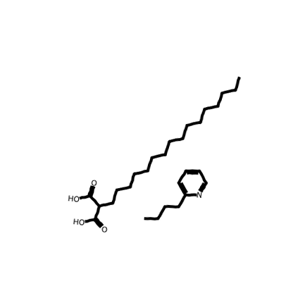 CCCCCCCCCCCCCCCCC(C(=O)O)C(=O)O.CCCCc1ccccn1